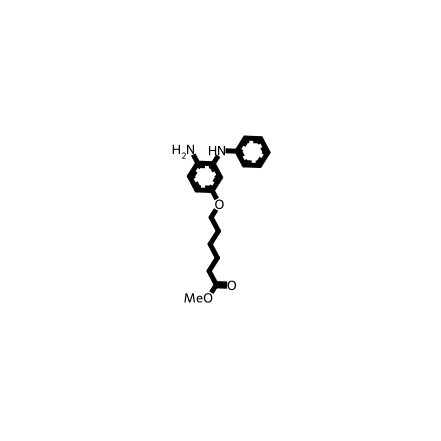 COC(=O)CCCCCOc1ccc(N)c(Nc2ccccc2)c1